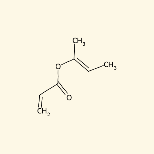 C=CC(=O)OC(C)=CC